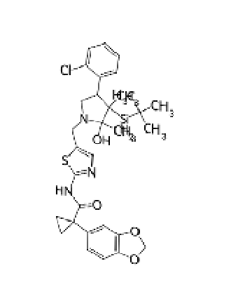 CC(C)(C)[SiH2]C1(C)C(c2ccccc2Cl)CN(Cc2cnc(NC(=O)C3(c4ccc5c(c4)OCO5)CC3)s2)C1(C)O